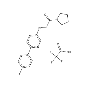 O=C(CNc1ccc(-c2ccc(F)cc2)nc1)N1CCCC1.O=C(O)C(F)(F)F